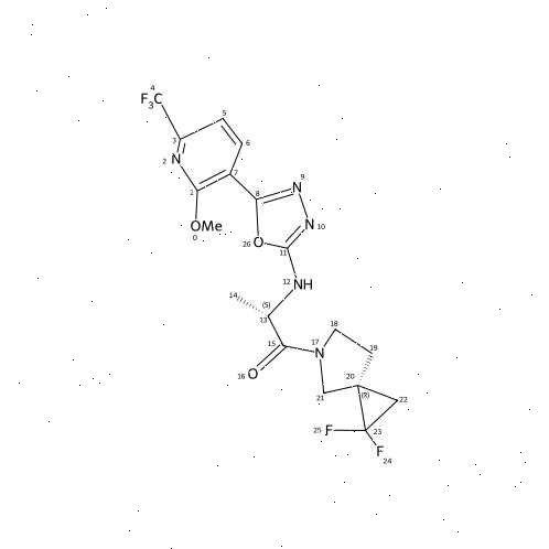 COc1nc(C(F)(F)F)ccc1-c1nnc(N[C@@H](C)C(=O)N2CC[C@]3(C2)CC3(F)F)o1